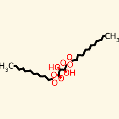 CCCCCCCCCCCC(=O)OC(=O)C(O)C(O)C(=O)OC(=O)CCCCCCCCCCC